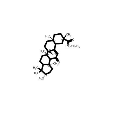 CC(=O)O[C@H]1CC[C@@]2(C)C(CC[C@]3(C)C2C(=O)C=C2C4C[C@@](C)(C(=O)N(C)O)CC[C@]4(C)CC[C@]23C)C1(C)C